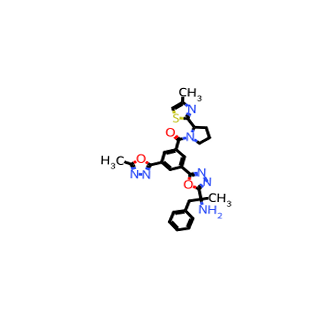 Cc1csc(C2CCCN2C(=O)c2cc(-c3nnc(C)o3)cc(-c3nnc(C(C)(N)Cc4ccccc4)o3)c2)n1